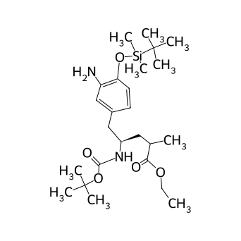 CCOC(=O)C(C)C[C@H](Cc1ccc(O[Si](C)(C)C(C)(C)C)c(N)c1)NC(=O)OC(C)(C)C